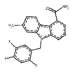 Cc1c[c]c2c3c(C(N)=O)cccc3n(Cc3cc(F)c(F)cc3F)c2c1